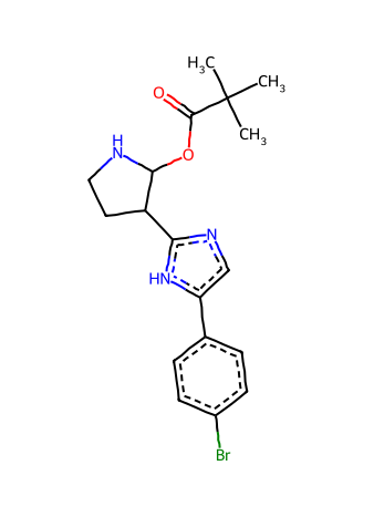 CC(C)(C)C(=O)OC1NCCC1c1ncc(-c2ccc(Br)cc2)[nH]1